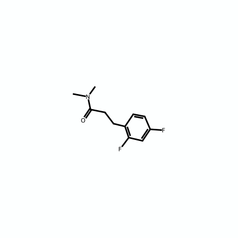 CN(C)C(=O)CCc1ccc(F)cc1F